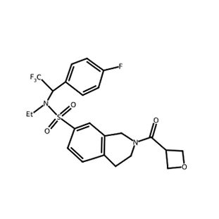 CCN(C(c1ccc(F)cc1)C(F)(F)F)S(=O)(=O)c1ccc2c(c1)CN(C(=O)C1COC1)CC2